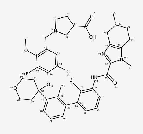 COc1c(CN2CCC(C(=O)O)C2)cc(Cl)c(OC2(c3cccc(-c4cccc(NC(=O)c5nc6c(n5C)CCN(C)C6)c4Cl)c3C)CCOCC2)c1F